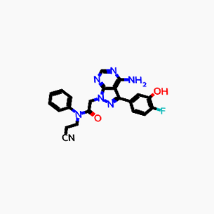 N#CCCN(C(=O)Cn1nc(-c2ccc(F)c(O)c2)c2c(N)ncnc21)c1ccccc1